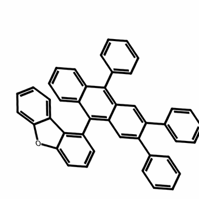 c1ccc(-c2cc3c(-c4ccccc4)c4ccccc4c(-c4cccc5oc6ccccc6c45)c3cc2-c2ccccc2)cc1